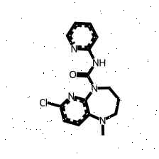 CN1CCCN(C(=O)Nc2ccccn2)c2nc(Cl)ccc21